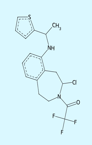 CC(Nc1cccc2c1CC(Cl)N(C(=O)C(F)(F)F)CC2)c1cccs1